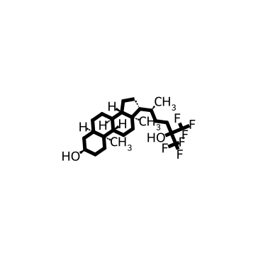 C[C@H](CCC(O)(C(F)(F)F)C(F)(F)F)[C@H]1CC[C@H]2[C@@H]3CC[C@@H]4C[C@H](O)CC[C@]4(C)[C@H]3CC[C@]12C